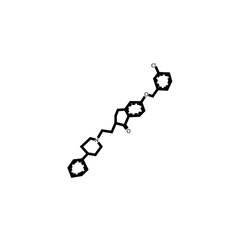 O=C1c2ccc(OCc3cccc(Cl)c3)cc2CCC1CCN1CCC(c2ccccc2)CC1